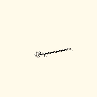 CCCCCCCCC=CCCCCCCCC(=O)OCC(C)O